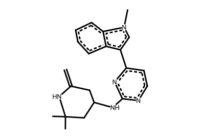 C=C1CC(Nc2nccc(-c3cn(C)c4ccccc34)n2)CC(C)(C)N1